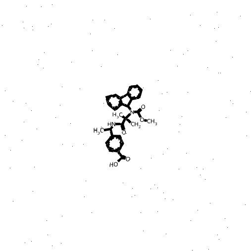 COC(=O)N(C1c2ccccc2-c2ccccc21)C(C)(C)C(=O)NC(C)c1ccc(C(=O)O)cc1